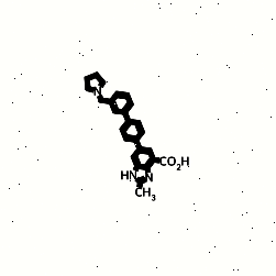 Cc1nc2c(C(=O)O)cc(-c3ccc(-c4cccc(CN5CCCC5)c4)cc3)cc2[nH]1